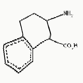 NC1CCc2ccccc2C1C(=O)O